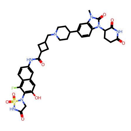 Cn1c(=O)n(C2CCC(=O)NC2=O)c2ccc(C3CCN(CC4CC(C(=O)Nc5ccc6c(F)c(N7CC(=O)NS7(=O)=O)c(O)cc6c5)C4)CC3)cc21